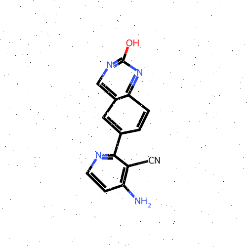 N#Cc1c(N)ccnc1-c1ccc2nc(O)ncc2c1